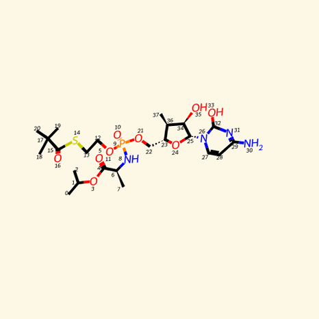 CC(C)OC(=O)[C@H](C)NP(=O)(OCCSC(=O)C(C)(C)C)OC[C@H]1O[C@@H](N2C=CC(N)=NC2O)[C@H](O)[C@@H]1C